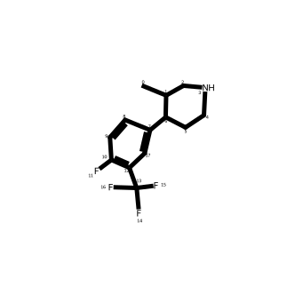 CC1CNCCC1c1ccc(F)c(C(F)(F)F)c1